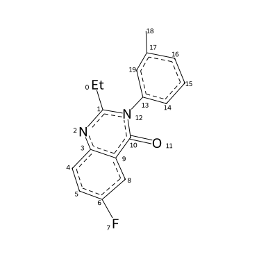 CCc1nc2ccc(F)cc2c(=O)n1-c1cccc(C)c1